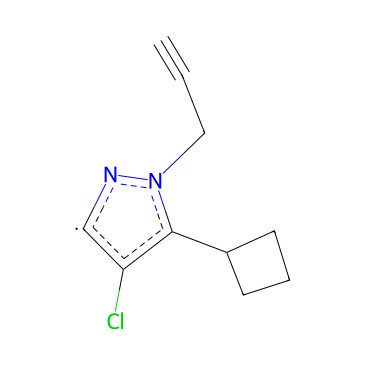 C#CCn1n[c]c(Cl)c1C1CCC1